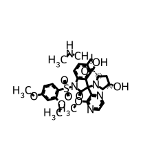 CNC.COc1ccc(S(=O)(=O)N2C(=O)C(c3nccnc3OC)(N3C[C@H](O)C[C@H]3C(=O)O)c3cc(I)ccc32)c(OC)c1